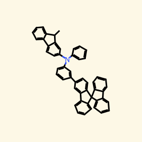 CC1c2ccccc2-c2ccc(N(c3ccccc3)c3cccc(-c4ccc5c(c4)-c4ccccc4C54c5ccccc5-c5ccccc54)c3)cc21